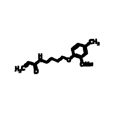 C=CC(=O)NCCCCOc1ccc(C)cc1OC